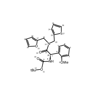 COc1ccccc1[C@@H](NC(=O)OC(C)(C)C)C(=O)N(Cc1ccco1)Cc1cccs1